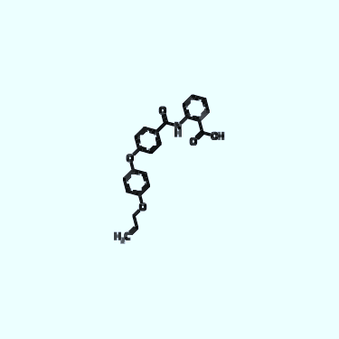 C=CCOc1ccc(Oc2ccc(C(=O)Nc3ccccc3C(=O)O)cc2)cc1